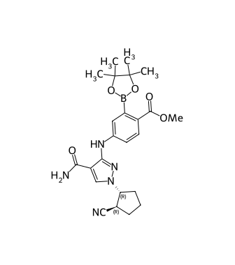 COC(=O)c1ccc(Nc2nn([C@@H]3CCC[C@H]3C#N)cc2C(N)=O)cc1B1OC(C)(C)C(C)(C)O1